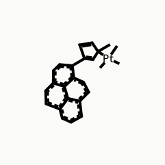 C[C]1([Pt]([CH3])([CH3])[CH3])C=CC(c2ccc3ccc4cccc5ccc2c3c45)=C1